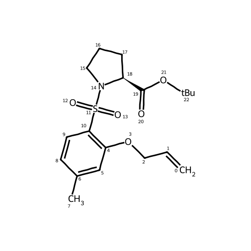 C=CCOc1cc(C)ccc1S(=O)(=O)N1CCC[C@H]1C(=O)OC(C)(C)C